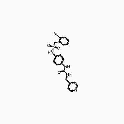 O=C(NCc1ccncc1)Nc1ccc(NS(=O)(=O)Cc2ccccc2Br)cc1